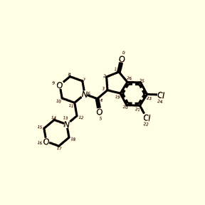 O=C1CC(C(=O)N2CCOCC2CN2CCOCC2)c2cc(Cl)c(Cl)cc21